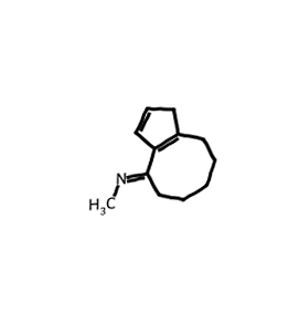 CN=C1CCCCCC2=C1C=CC2